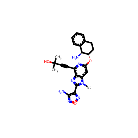 CCn1c(-c2nonc2N)nc2c(C#CC(C)(C)O)nc(O[C@H]3CCc4ccccc4[C@@H]3N)cc21